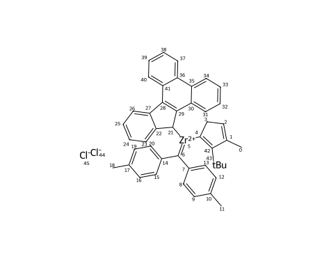 CC1=CC[C]([Zr+2](=[C](c2ccc(C)cc2)c2ccc(C)cc2)[CH]2c3ccccc3-c3c2c2ccccc2c2ccccc32)=C1C(C)(C)C.[Cl-].[Cl-]